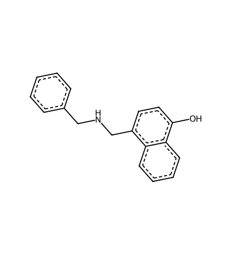 Oc1ccc(CNCc2ccccc2)c2ccccc12